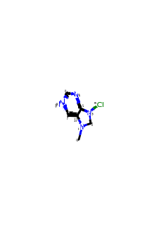 CN1CN(Cl)c2ncncc21